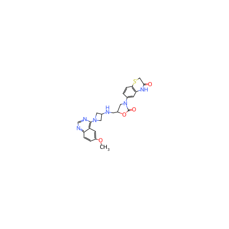 COc1ccc2ncnc(N3CC(NCC4CN(c5ccc6c(c5)NC(=O)CS6)C(=O)O4)C3)c2c1